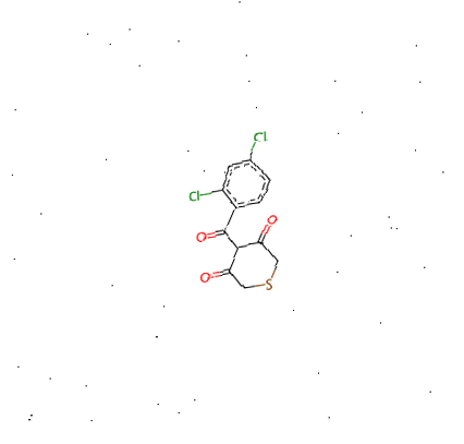 O=C1CSCC(=O)C1C(=O)c1ccc(Cl)cc1Cl